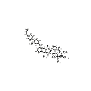 CN[C@@H](C)C(N)[C@@H](C(=O)N1CCC[C@H]1C(=O)Nc1cc2c(Nc3ccc(N4CCN(CC5CC5)CC4)c(Cl)c3)ncnc2cc1OC)C(C)(C)C